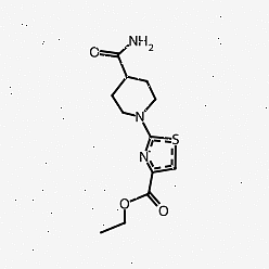 CCOC(=O)c1csc(N2CCC(C(N)=O)CC2)n1